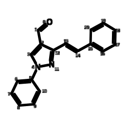 O=Cc1cn(-c2ccccc2)nc1C=Cc1ccccc1